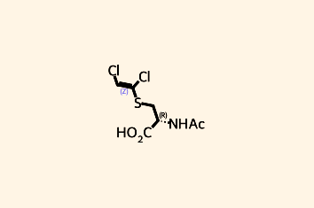 CC(=O)N[C@@H](CS/C(Cl)=C/Cl)C(=O)O